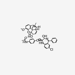 CC(=O)Nc1ccc(O)cc1.COc1ccc2c3c1O[C@H]1[C@@H](O)C=C[C@H]4[C@@H](C2)N(C)CC[C@@]341.O=C1Nc2ccc(Cl)cc2C(c2ccccc2)=NC1O